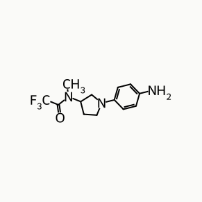 CN(C(=O)C(F)(F)F)C1CCN(c2ccc(N)cc2)C1